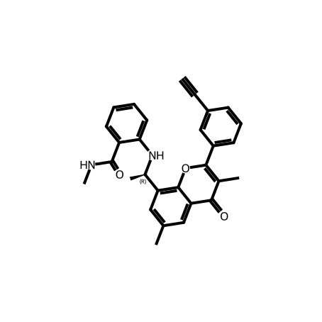 C#Cc1cccc(-c2oc3c([C@@H](C)Nc4ccccc4C(=O)NC)cc(C)cc3c(=O)c2C)c1